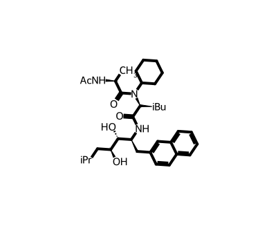 CC[C@H](C)[C@@H](C(=O)N[C@@H](Cc1ccc2ccccc2c1)[C@@H](O)[C@@H](O)CC(C)C)N(C(=O)[C@H](C)NC(C)=O)C1CCCCC1